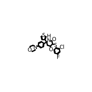 O=C1CC(c2ccc(N3CCOCC3)cc2)(c2ccsc2)NC(=O)C1Sc1ccc(F)cc1Cl